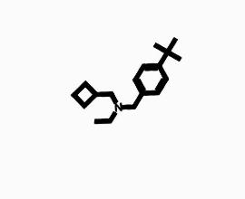 CCN(Cc1ccc(C(C)(C)C)cc1)CC1CCC1